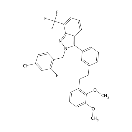 COc1cccc(CCc2cccc(-c3c4cccc(C(F)(F)F)c4nn3Cc3ccc(Cl)cc3F)c2)c1OC